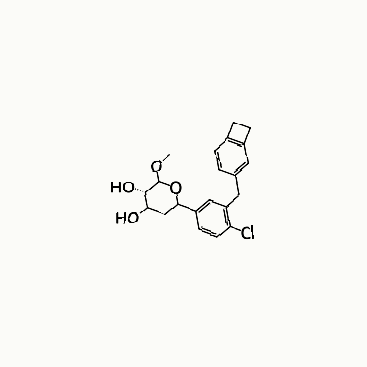 COC1OC(c2ccc(Cl)c(Cc3ccc4c(c3)CC4)c2)CC(O)[C@@H]1O